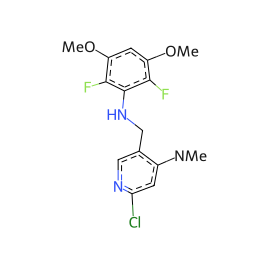 CNc1cc(Cl)ncc1CNc1c(F)c(OC)cc(OC)c1F